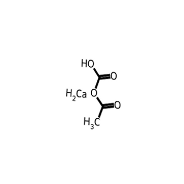 CC(=O)OC(=O)O.[CaH2]